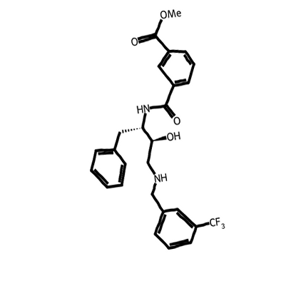 COC(=O)c1cccc(C(=O)N[C@@H](Cc2ccccc2)[C@@H](O)CNCc2cccc(C(F)(F)F)c2)c1